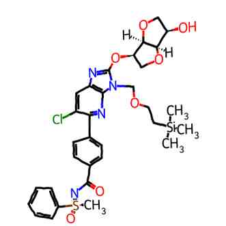 C[Si](C)(C)CCOCn1c(O[C@@H]2CO[C@H]3[C@@H]2OC[C@H]3O)nc2cc(Cl)c(-c3ccc(C(=O)N=[S@](C)(=O)c4ccccc4)cc3)nc21